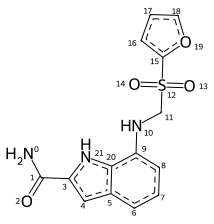 NC(=O)c1cc2cccc(NCS(=O)(=O)c3ccco3)c2[nH]1